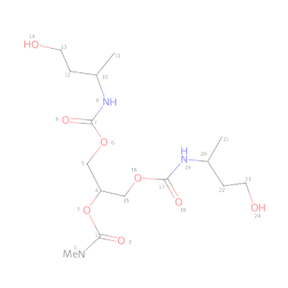 CNC(=O)OC(COC(=O)NC(C)CCO)COC(=O)NC(C)CCO